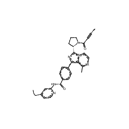 CC#CC(=O)N1CCC[C@H]1c1nc(-c2ccc(C(=O)Nc3cc(CC)ccn3)cc2)c2c(C)nccn12